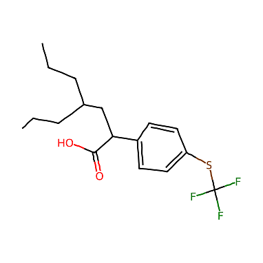 CCCC(CCC)CC(C(=O)O)c1ccc(SC(F)(F)F)cc1